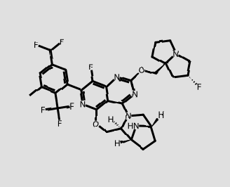 Cc1cc(C(F)F)cc(-c2nc3c4c(nc(OC[C@@]56CCCN5C[C@H](F)C6)nc4c2F)N2C[C@@H]4CC[C@@H](N4)[C@H]2CO3)c1C(F)(F)F